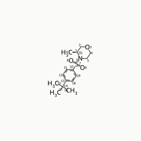 C[C@H]1COCCN1S(=O)(=O)c1ccc(C(C)(C)C)cc1